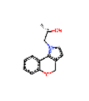 C[C@H](O)Cn1ccc2c1-c1ccccc1OC2